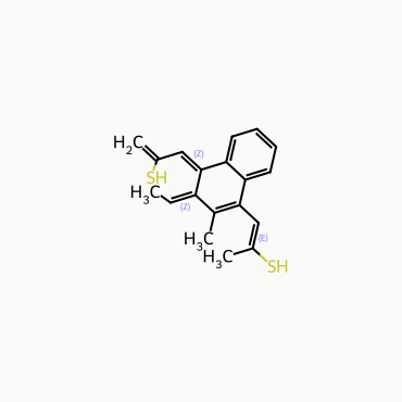 C=C(S)/C=c1\c(=C/C)c(C)c(/C=C(\C)S)c2ccccc12